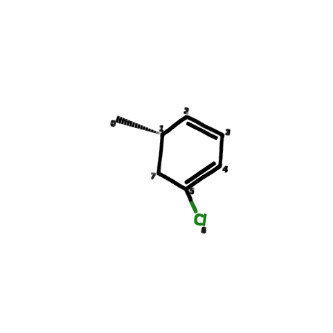 C[C@@H]1C=CC=C(Cl)C1